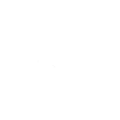 c1ccc(-c2cc3c(c4c2oc2ccccc24)OC(n2c4ccccc4c4cc5ccccc5cc42)N3)cc1